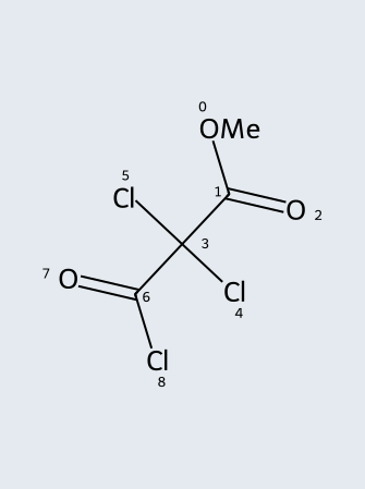 COC(=O)C(Cl)(Cl)C(=O)Cl